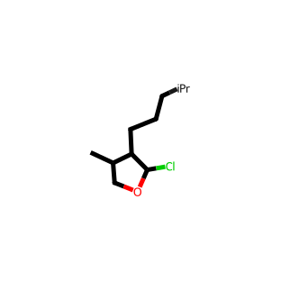 CC(C)CCCC1C(C)COC1Cl